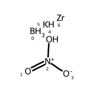 B.O=[N+]([O-])O.[KH].[Zr]